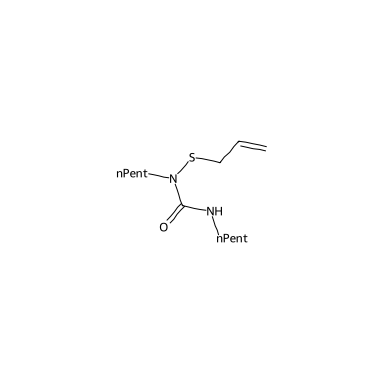 C=CCSN(CCCCC)C(=O)NCCCCC